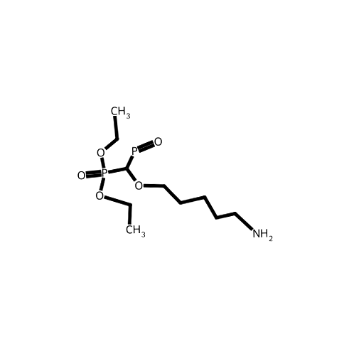 CCOP(=O)(OCC)C(OCCCCCN)P=O